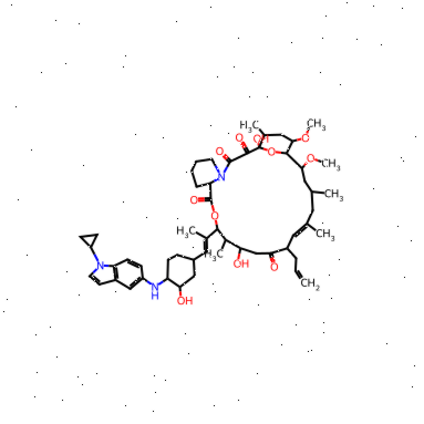 C=CCC1/C=C(\C)CC(C)CC(OC)C2OC(O)(C(=O)C(=O)N3CCCCC3C(=O)OC(C(C)=CC3CCC(Nc4ccc5c(ccn5C5CC5)c4)C(O)C3)C(C)C(O)CC1=O)C(C)CC2OC